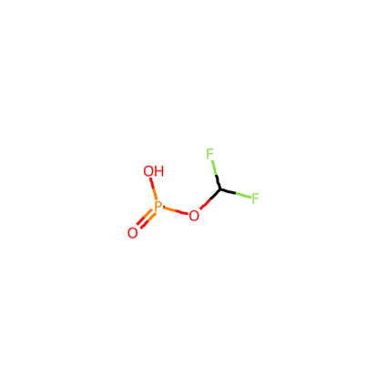 O=[P](O)OC(F)F